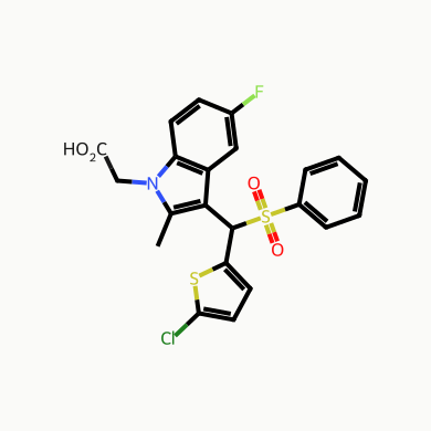 Cc1c(C(c2ccc(Cl)s2)S(=O)(=O)c2ccccc2)c2cc(F)ccc2n1CC(=O)O